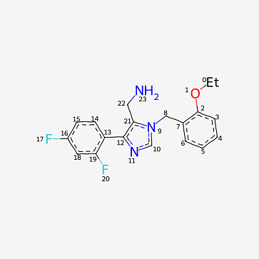 CCOc1ccccc1Cn1cnc(-c2ccc(F)cc2F)c1CN